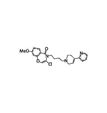 COc1ccc2c(c1)OC=C(Cl)N(CCCCN1CC=C(c3ccccn3)CC1)C2=O